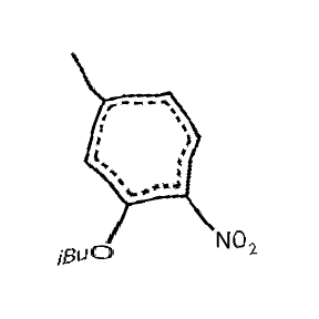 Cc1ccc([N+](=O)[O-])c(OCC(C)C)c1